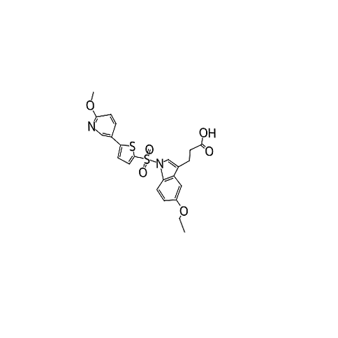 CCOc1ccc2c(c1)c(CCC(=O)O)cn2S(=O)(=O)c1ccc(-c2ccc(OC)nc2)s1